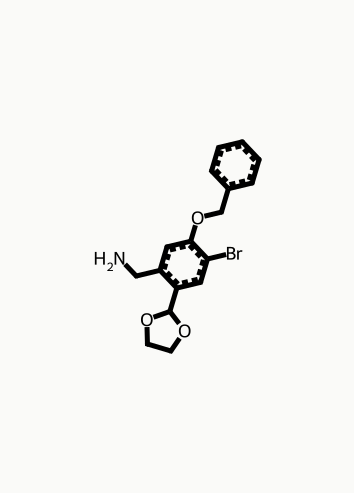 NCc1cc(OCc2ccccc2)c(Br)cc1C1OCCO1